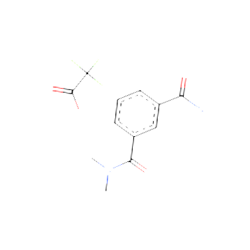 CCCN(CCC)C(=O)c1cccc(C(N)=O)c1.O=C(O)C(F)(F)F